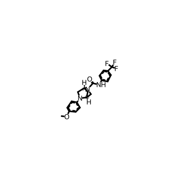 COc1ccc(N2C[C@H]3C[C@@H]2CN3C(=O)Nc2ccc(C(F)(F)F)cc2)cc1